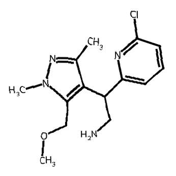 COCc1c(C(CN)c2cccc(Cl)n2)c(C)nn1C